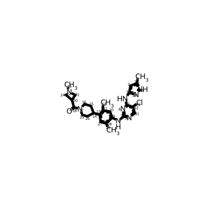 Cc1cc(Nc2nc(Nc3cc(C)c(C4CCN(C(=O)C5CN(C)C5)CC4)cc3C)ncc2Cl)n[nH]1